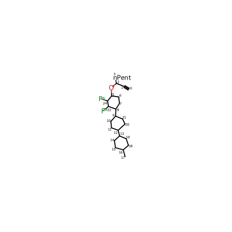 C#CC(CCCCC)OC1CCC(C2CCC(C3CCC(C)CC3)CC2)C(F)C1F